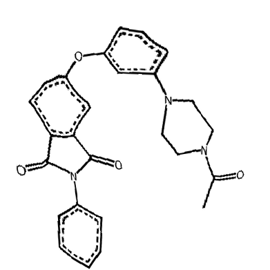 CC(=O)N1CCN(c2cccc(Oc3ccc4c(c3)C(=O)N(c3ccccc3)C4=O)c2)CC1